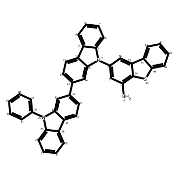 Bc1cc(-n2c3ccccc3c3ccc(-c4ccc5c6ccccc6n(-c6ccccc6)c5c4)cc32)cc2c1sc1ccccc12